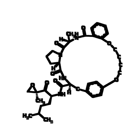 CC(C)CC[C@H](NC(=O)[C@@H]1Cc2ccc(cc2)OCCCCOc2ccccc2C(=O)N[C@@H](C)C(=O)N2CCC[C@H]2C(=O)N1)C(=O)[C@@]1(C)CO1